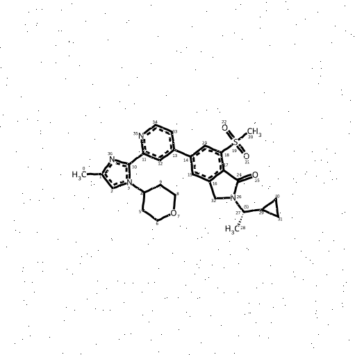 Cc1cn(C2CCOCC2)c(-c2cc(-c3cc4c(c(S(C)(=O)=O)c3)C(=O)N([C@@H](C)C3CC3)C4)ccn2)n1